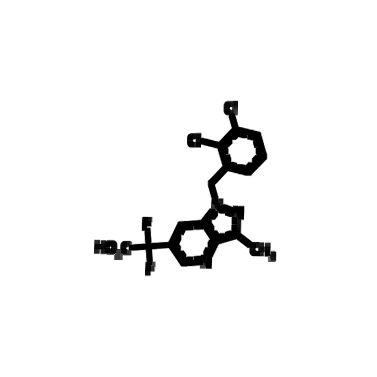 Cc1nn(Cc2cccc(Cl)c2Cl)c2cc(C(F)(F)C(=O)O)cnc12